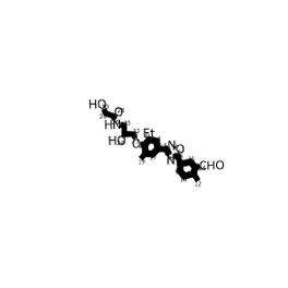 CCc1cc(-c2noc(-c3ccc(C)c(C=O)c3)n2)cc(C)c1OC[C@@H](O)CNC(=O)CO